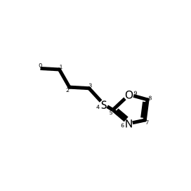 CCCCSc1ncco1